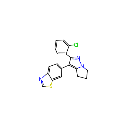 Clc1ccccc1-c1nn2c(c1-c1ccc3ncsc3c1)CCC2